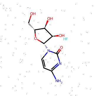 F.Nc1ccn([C@@H]2O[C@H](CO)[C@@H](O)[C@H]2O)c(=O)n1